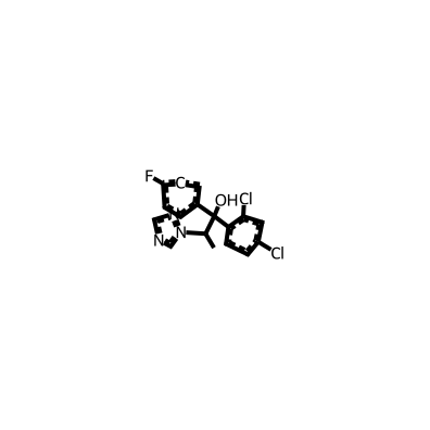 CC(n1cncn1)C(O)(c1ccc(F)cc1)c1ccc(Cl)cc1Cl